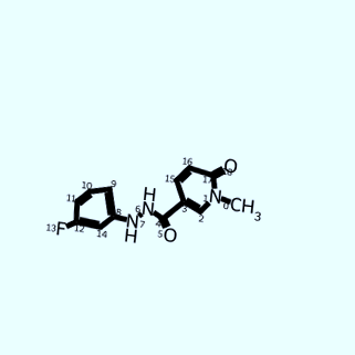 Cn1cc(C(=O)NNc2cccc(F)c2)ccc1=O